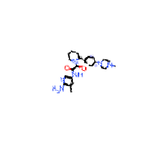 C=C(/C=C\C(=C/C)N1CCN(C)CC1)[C@@H]1CCCCN1C(=O)C(=O)Nc1cnc(N)c(C)c1